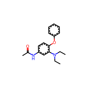 CCN(CC)c1cc(NC(C)=O)ccc1Oc1ccccc1